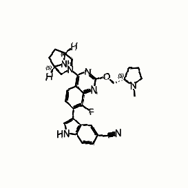 CN1CCC[C@H]1COc1nc(N2C[C@H]3CC[C@@H](C2)N3)c2ccc(-c3c[nH]c4ccc(C#N)cc34)c(F)c2n1